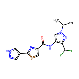 CC(C#N)n1cc(NC(=O)c2csc(-c3cn[nH]c3)n2)c(C(F)F)n1